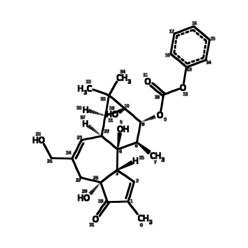 CC1=C[C@H]2[C@@]3(O)[C@H](C)[C@@H](OC(=O)Oc4ccccc4)[C@]4(O)[C@@H]([C@@H]3C=C(CO)C[C@]2(O)C1=O)C4(C)C